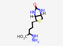 NNC(CCC[C@@H]1SC[C@@H]2NC(=O)N[C@@H]21)C(=O)O